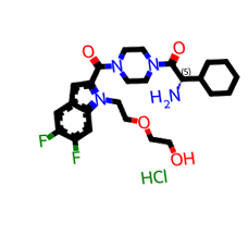 Cl.N[C@H](C(=O)N1CCN(C(=O)c2cc3cc(F)c(F)cc3n2CCOCCO)CC1)C1CCCCC1